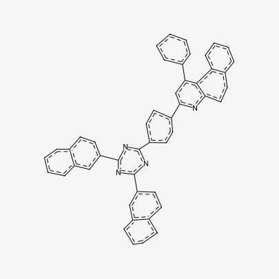 c1ccc(-c2cc(-c3ccc(-c4nc(-c5ccc6ccccc6c5)nc(-c5ccc6ccccc6c5)n4)cc3)nc3ccc4ccccc4c23)cc1